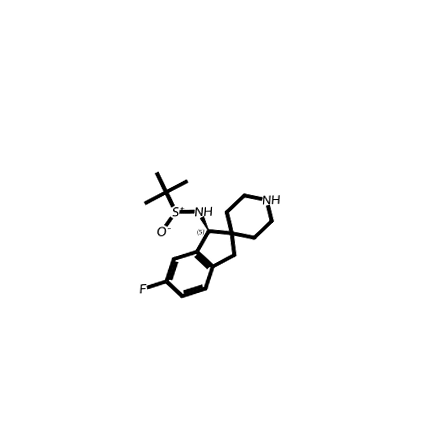 CC(C)(C)[S+]([O-])N[C@@H]1c2cc(F)ccc2CC12CCNCC2